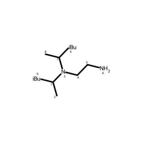 CCC(C)C(C)N(CCN)C(C)C(C)CC